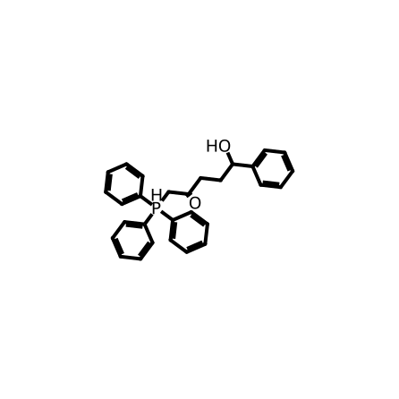 O=C(CCC(O)c1ccccc1)C[PH](c1ccccc1)(c1ccccc1)c1ccccc1